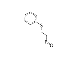 O=PCCSc1ccccc1